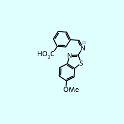 COc1ccc2nc(/N=C\c3cccc(C(=O)O)c3)sc2c1